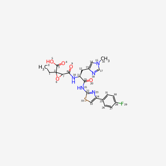 CCC1(C(=O)O)OC1C(=O)N[C@@H](Cc1cn(C)cn1)C(=O)Nc1nc(-c2ccc(F)cc2)cs1